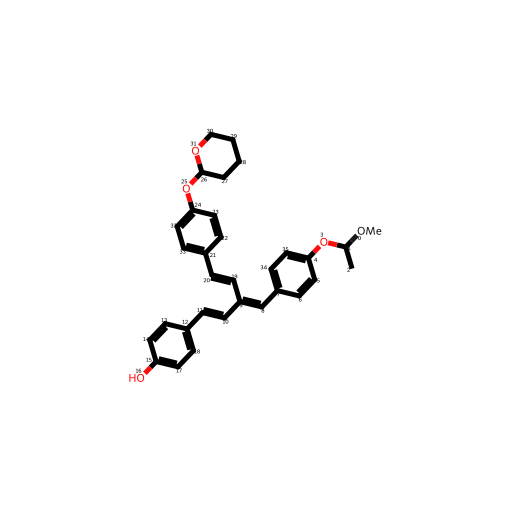 COC(C)Oc1ccc(C=C(C=Cc2ccc(O)cc2)C=Cc2ccc(OC3CCCCO3)cc2)cc1